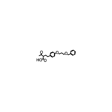 CC(=O)C(CCc1ccc(OCCCOCc2ccccc2)cc1)C(=O)O